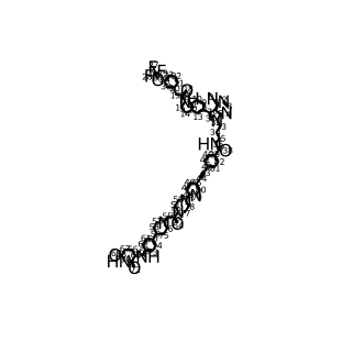 Nc1ncnc2c1c(-c1ccc3c(c1)CCN3C(=O)Cc1cccc(OC(F)(F)F)c1)cn2CCCNC(=O)c1ccc(C#Cc2ccc(N3CCN(C(=O)CN4CCC(c5ccc(NC6CCC(=O)NC6=O)cc5)CC4)CC3)nc2)cc1